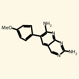 COc1ccc(-c2cc3cnc(N)nc3nc2N)cc1